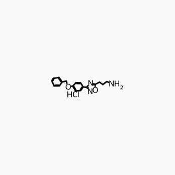 Cl.NCCCc1nc(-c2ccc(OCc3ccccc3)cc2)no1